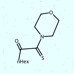 CCCCCCC(=O)C(=S)N1CCOCC1